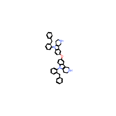 c1ccc(Cc2ccccc2-n2c3c(c4cc(Oc5ccc6c(c5)c5c(n6-c6ccccc6Cc6ccccc6)CCNC5)ccc42)CNCC3)cc1